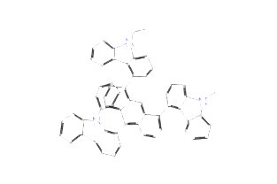 CCn1c2ccccc2c2c(-c3cccc4c(-c5cccc6c7ccccc7n(-c7ccccc7)c56)c5cccc(-c6cccc7c6c6ccccc6n7CC)c5cc34)cccc21